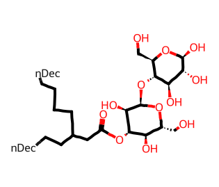 CCCCCCCCCCCCCCC(CCCCCCCCCCCC)CC(=O)O[C@@H]1[C@@H](O)[C@@H](O[C@H]2[C@H](O)[C@@H](O)[C@H](O)O[C@@H]2CO)O[C@H](CO)[C@H]1O